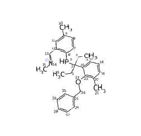 CCC(CC)(Pc1ccc(C)cc1/C=N/C)c1cccc(C)c1OCc1ccccc1